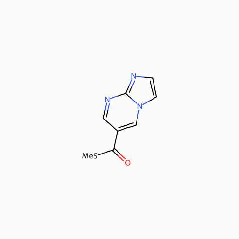 CSC(=O)c1cnc2nccn2c1